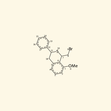 COc1cccc2c1C(CBr)SC(c1ccccc1)C2